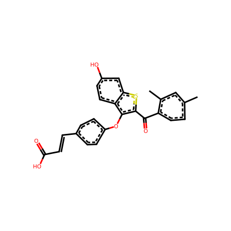 Cc1ccc(C(=O)c2sc3cc(O)ccc3c2Oc2ccc(C=CC(=O)O)cc2)c(C)c1